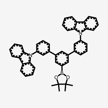 CC1(C)OB(c2cc(-c3cccc(-n4c5ccccc5c5ccccc54)c3)cc(-c3cccc(-n4c5ccccc5c5ccccc54)c3)c2)OC1(C)C